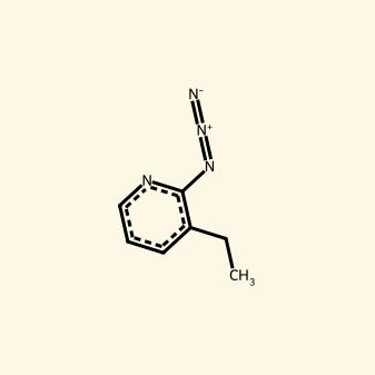 CCc1cccnc1N=[N+]=[N-]